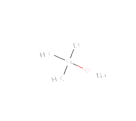 CC[Si](C)(C)[O-].[Na+]